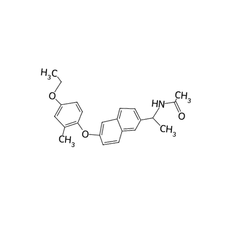 CCOc1ccc(Oc2ccc3cc(C(C)NC(C)=O)ccc3c2)c(C)c1